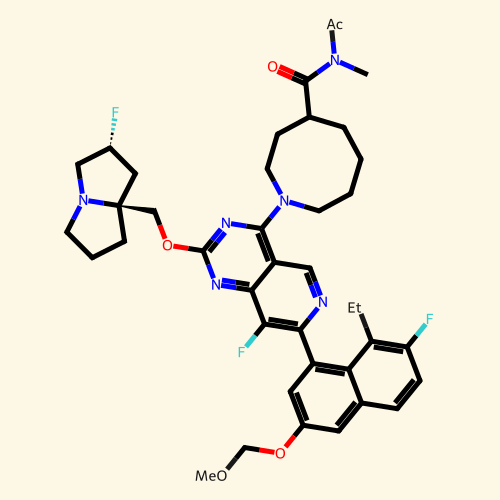 CCc1c(F)ccc2cc(OCOC)cc(-c3ncc4c(N5CCCCC(C(=O)N(C)C(C)=O)CC5)nc(OC[C@@]56CCCN5C[C@H](F)C6)nc4c3F)c12